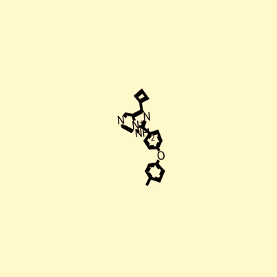 Cc1ccc(Oc2ccc(C3=NC(C4=CC=C4)=C4C=NC=C[N+]34N)cc2)cc1